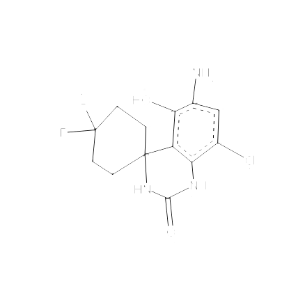 Nc1cc(Cl)c2c(c1O)C1(CCC(F)(F)CC1)NC(=O)N2